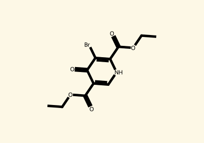 CCOC(=O)c1[nH]cc(C(=O)OCC)c(=O)c1Br